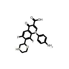 Nc1ccc(-n2cc(C(=O)O)c(=O)c3cc(F)c(C4CNCCO4)c(F)c32)cc1